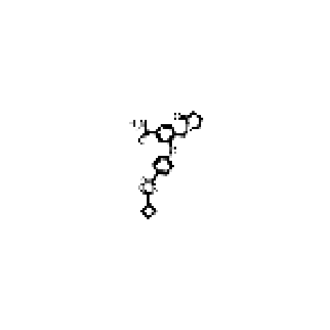 NC(=O)c1ccc(CN2CCCC2=O)c(Oc2ccc(-c3nc(C4CCC4)no3)cc2)c1